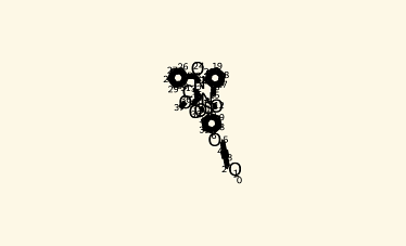 COCC#CCOc1ccc(S(=O)(=O)N2Cc3ccccc3N(C(=O)c3ccccc3Cl)CC2C(=O)OC)cc1